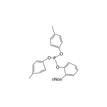 CCCCCCCCCc1ccccc1OP(Oc1ccc(C)cc1)Oc1ccc(C)cc1